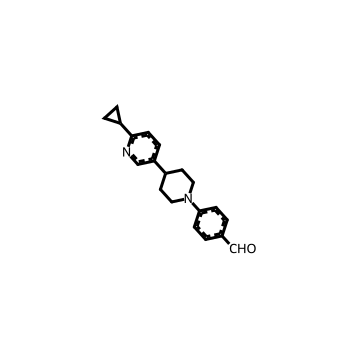 O=Cc1ccc(N2CCC(c3ccc(C4CC4)nc3)CC2)cc1